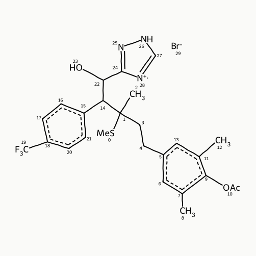 CSC(C)(CCc1cc(C)c(OC(C)=O)c(C)c1)C(c1ccc(C(F)(F)F)cc1)C(O)C1=NNC=[N+]1.[Br-]